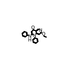 CCOc1cc2c(cn1)c(=O)cc(Nc1ccccc1)n2-c1ccccc1